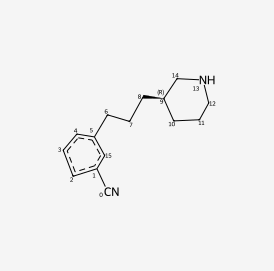 N#Cc1cccc(CCC[C@@H]2CCCNC2)c1